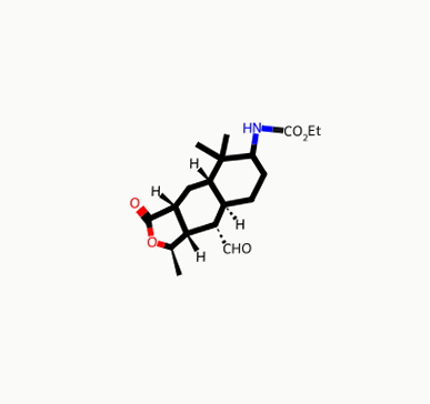 CCOC(=O)NC1CC[C@H]2[C@H](C=O)[C@@H]3[C@@H](C)OC(=O)[C@@H]3C[C@@H]2C1(C)C